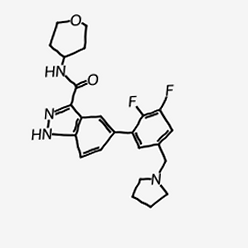 O=C(NC1CCOCC1)c1n[nH]c2ccc(-c3cc(CN4CCCC4)cc(F)c3F)cc12